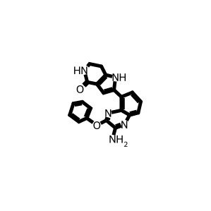 Nc1nc2cccc(-c3cc4c([nH]3)CCNC4=O)c2nc1Oc1ccccc1